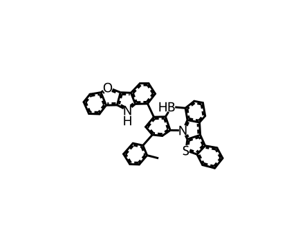 Cc1ccccc1-c1cc(-c2cccc3c2[nH]c2c4ccccc4oc32)c2c(c1)-n1c3sc4ccccc4c3c3cccc(c31)B2